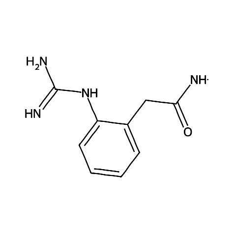 [NH]C(=O)Cc1ccccc1NC(=N)N